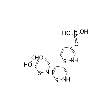 C1=CNSC=C1.C1=CNSC=C1.C1=CNSC=C1.O=CO.O=[PH](O)O